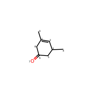 CC1=CC(C)CC(=O)C1